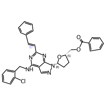 O=C(OC[C@@H]1CC[C@H](n2ncc3c(NCc4ccccc4Cl)nc(/C=C/c4ccccc4)nc32)O1)c1ccccc1